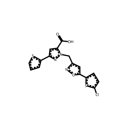 O=C(O)c1cc(-c2cccs2)nn1Cc1cc(-c2ccc(Cl)s2)on1